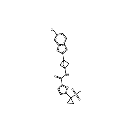 CS(=O)(=O)C1(c2ccc(C(=O)NC34CC(c5nc6ccc(Cl)cc6s5)(C3)C4)o2)CC1